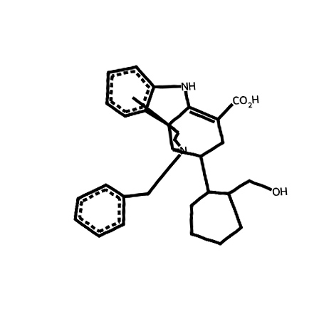 CC1CN(Cc2ccccc2)C2C(C3CCCCC3CO)CC(C(=O)O)=C3Nc4ccccc4C312